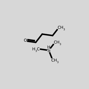 CCCC=O.C[SiH](C)C